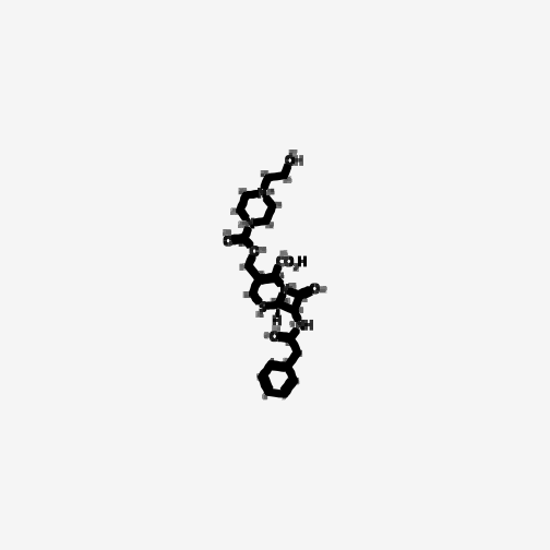 O=C(Cc1ccccc1)NC1C(=O)N2C(C(=O)O)=C(COC(=O)N3CCN(CCO)CC3)CS[C@H]12